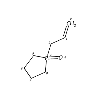 C=CCP1(=O)CCCC1